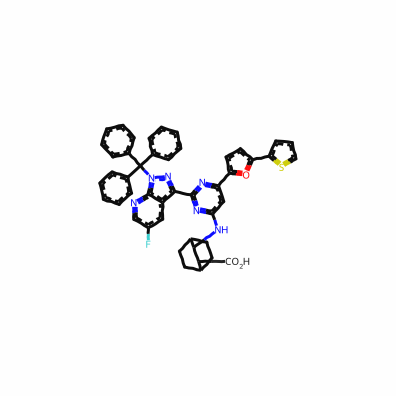 O=C(O)C1C2CCC(CC2)C1Nc1cc(-c2ccc(-c3cccs3)o2)nc(-c2nn(C(c3ccccc3)(c3ccccc3)c3ccccc3)c3ncc(F)cc23)n1